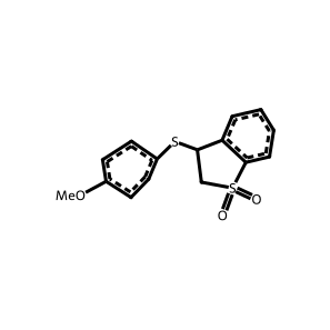 COc1ccc(SC2CS(=O)(=O)c3ccccc32)cc1